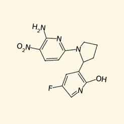 Nc1nc(N2CCCC2c2cc(F)cnc2O)ccc1[N+](=O)[O-]